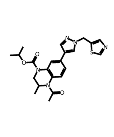 CC(=O)N1c2ccc(-c3cnn(Cc4cncs4)c3)cc2N(C(=O)OC(C)C)CC1C